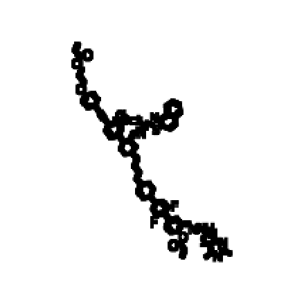 C=CC(=O)OCCCOc1ccc(C#Cc2ccc(C3CCC(CCCCC4CCC(c5cc(F)c(-c6ccc(OC(=O)C=C)c(/C=N/Nc7nc8nc(C)nc(C)c8s7)c6)c(F)c5)CC4)CC3/C=N/N(CCCCCCCC)c3nc4c(ccc5ccccc54)s3)cc2Cl)cc1